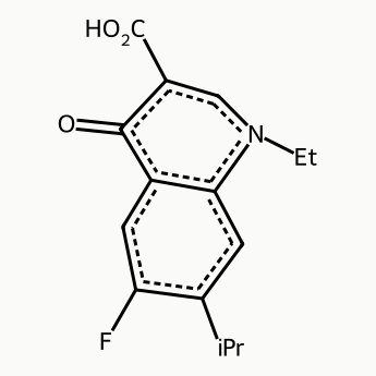 CCn1cc(C(=O)O)c(=O)c2cc(F)c(C(C)C)cc21